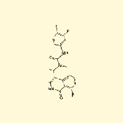 CC(c1n[nH]c(=O)c2c(F)cccc12)N(C)C(=O)Nc1ccc(F)c(F)c1